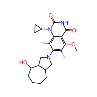 COc1c(F)c(N2CC3CCCCC(O)C3C2)c(C)c2c1c(=O)[nH]c(=O)n2C1CC1